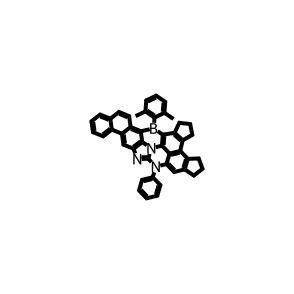 Cc1cccc(C)c1B1c2c3ccc4ccccc4c3cc3nc4n(-c5ccccc5)c5cc6c(c7c8c(c1c(c75)n4c23)CCC8)CCC6